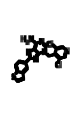 Nc1ncn(Cc2c(Cl)cncc2Cl)c2nc(-c3ccc4sccc4c3)nc1-2